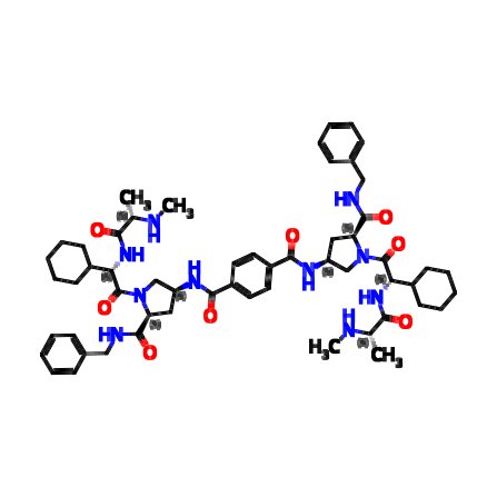 CN[C@@H](C)C(=O)N[C@H](C(=O)N1C[C@@H](NC(=O)c2ccc(C(=O)N[C@H]3C[C@@H](C(=O)NCc4ccccc4)N(C(=O)[C@@H](NC(=O)[C@H](C)NC)C4CCCCC4)C3)cc2)C[C@H]1C(=O)NCc1ccccc1)C1CCCCC1